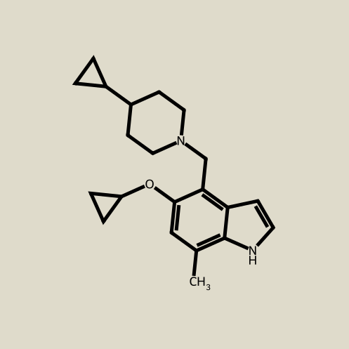 Cc1cc(OC2CC2)c(CN2CCC(C3CC3)CC2)c2cc[nH]c12